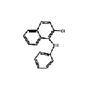 Oc1ccc2ccccc2c1Nc1ccccc1